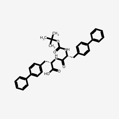 CC(C)(C)OC(=O)N[C@H](Cc1ccc(-c2ccccc2)cc1)C(=O)N[C@@H](Cc1ccc(-c2ccccc2)cc1)C(=O)O